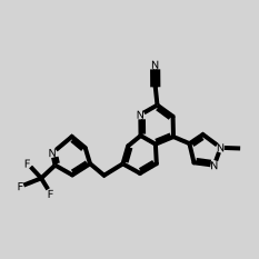 Cn1cc(-c2cc(C#N)nc3cc(Cc4ccnc(C(F)(F)F)c4)ccc23)cn1